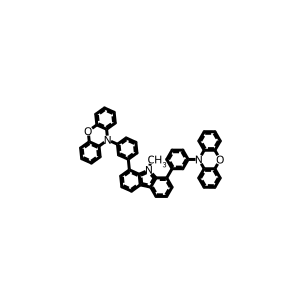 Cn1c2c(-c3cccc(N4c5ccccc5Oc5ccccc54)c3)cccc2c2cccc(-c3cccc(N4c5ccccc5Oc5ccccc54)c3)c21